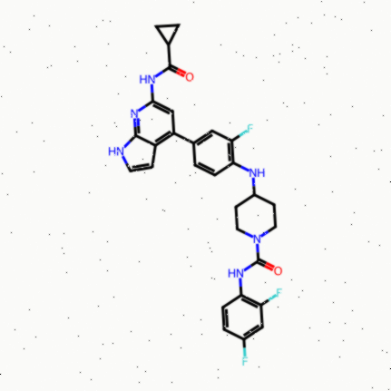 O=C(Nc1cc(-c2ccc(NC3CCN(C(=O)Nc4ccc(F)cc4F)CC3)c(F)c2)c2cc[nH]c2n1)C1CC1